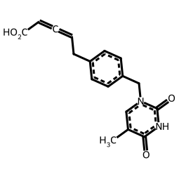 Cc1cn(Cc2ccc(CC=C=CC(=O)O)cc2)c(=O)[nH]c1=O